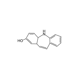 OC1=CC2C=Cc3ccccc3NC2C=C1